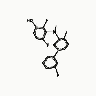 Cc1ccc(-c2cccc(F)c2)cc1N(C)c1c(F)ccc(O)c1F